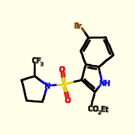 CCOC(=O)c1[nH]c2ccc(Br)cc2c1S(=O)(=O)N1CCCC1C(F)(F)F